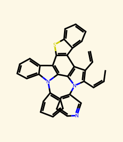 C=Cc1c(/C=C\C)n(-c2cccnc2)c2c1c1c3ccccc3sc1c1c3ccccc3n(-c3ccccc3)c12